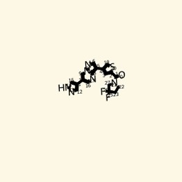 O=C(c1cc(-c2cnn3cc(-c4cn[nH]c4)cnc23)cs1)N1CCC(F)(F)C1